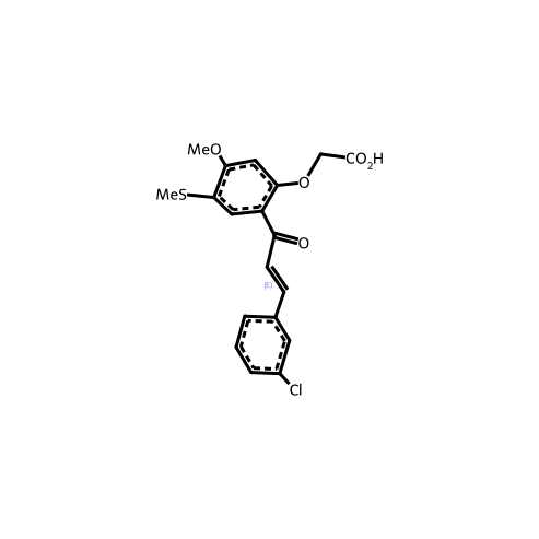 COc1cc(OCC(=O)O)c(C(=O)/C=C/c2cccc(Cl)c2)cc1SC